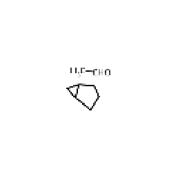 C1CC2CC2C1.CC=O